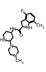 Cc1ccc(F)c2c1NC(C(=O)NC1CCNC(N3CCN(C)CC3)C1)C2